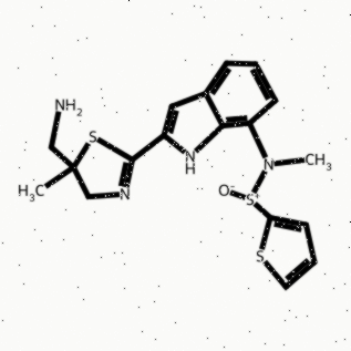 CN(c1cccc2cc(C3=NCC(C)(CN)S3)[nH]c12)[S+]([O-])c1cccs1